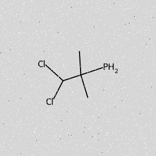 CC(C)(P)C(Cl)Cl